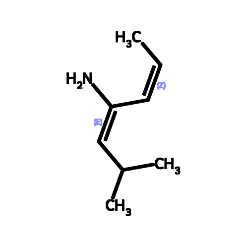 C/C=C\C(N)=C/C(C)C